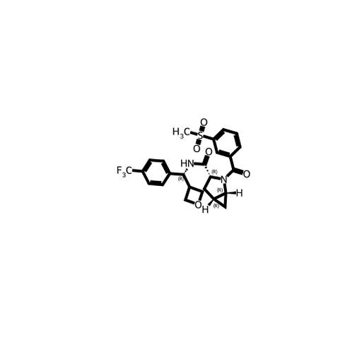 CS(=O)(=O)c1cccc(C(=O)N2[C@@H](C(=O)N[C@@H](c3ccc(C(F)(F)F)cc3)C3COC3)C[C@H]3C[C@H]32)c1